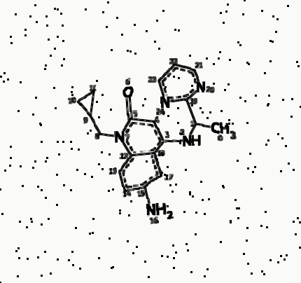 CC(Nc1cc(=O)n(CC2CC2)c2ccc(N)cc12)c1ncccn1